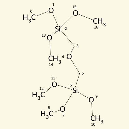 CO[Si](COC[Si](OC)(OC)OC)(OC)OC